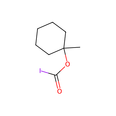 CC1(OC(=O)I)CCCCC1